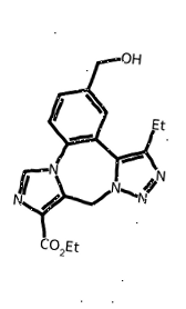 CCOC(=O)c1ncn2c1Cn1nnc(CC)c1-c1cc(CO)ccc1-2